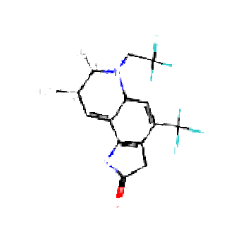 C[C@@H]1C=C2C3=C(CC(=O)N3)C(C(F)(F)F)=CC2N(CC(F)(F)F)[C@@H]1C